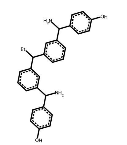 CCC(c1cccc(C(N)c2ccc(O)cc2)c1)c1cccc(C(N)c2ccc(O)cc2)c1